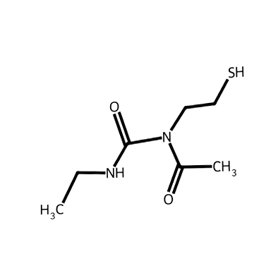 CCNC(=O)N(CCS)C(C)=O